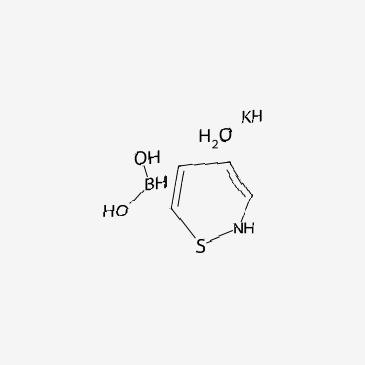 C1=CNSC=C1.O.OBO.[KH]